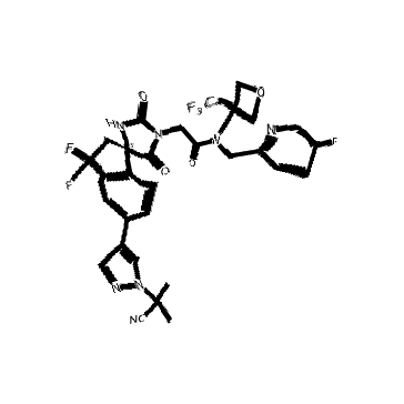 CC(C)(C#N)n1cc(-c2ccc3c(c2)C(F)(F)C[C@]32NC(=O)N(CC(=O)N(Cc3ccc(F)cn3)C3(C(F)(F)F)COC3)C2=O)cn1